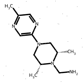 Cc1cnc(N2C[C@@H](C)N(CN)[C@@H](C)C2)cn1